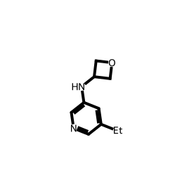 CCc1cncc(NC2COC2)c1